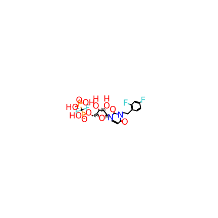 O=c1ccn([C@@H]2O[C@H](COP(=O)(O)C(F)(F)P(=O)(O)O)C(O)[C@@H]2O)c(=O)n1CCc1ccc(F)cc1F